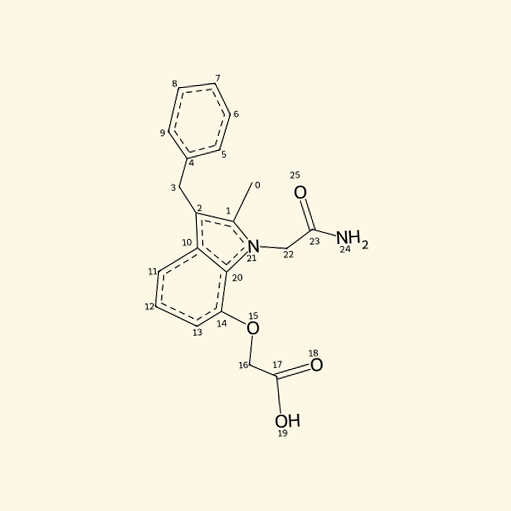 Cc1c(Cc2ccccc2)c2cccc(OCC(=O)O)c2n1CC(N)=O